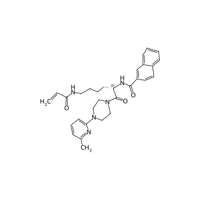 C=CC(=O)NCCCC[C@H](NC(=O)c1ccc2ccccc2c1)C(=O)N1CCN(c2cccc(C)n2)CC1